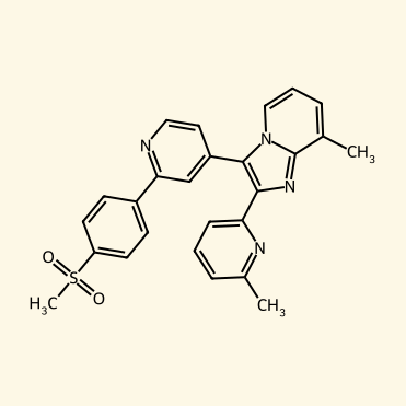 Cc1cccc(-c2nc3c(C)cccn3c2-c2ccnc(-c3ccc(S(C)(=O)=O)cc3)c2)n1